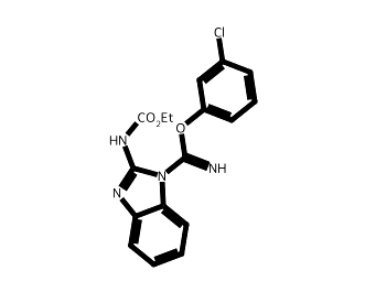 CCOC(=O)Nc1nc2ccccc2n1C(=N)Oc1cccc(Cl)c1